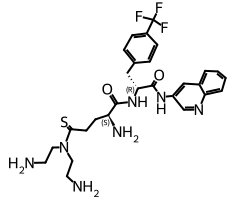 NCCN(CCN)C(=S)CC[C@H](N)C(=O)N[C@H](Cc1ccc(C(F)(F)F)cc1)C(=O)Nc1cnc2ccccc2c1